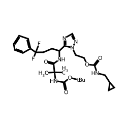 CC(C)(C)OC(=O)NC(C)(C)C(=O)NC(CCC(F)(F)c1ccccc1)c1ncnn1CCOC(=O)NCC1CC1